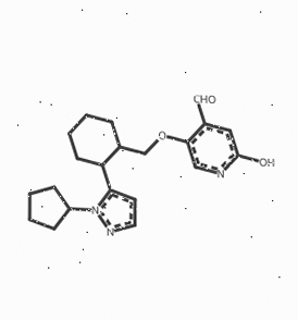 O=Cc1cc(O)ncc1OCC1CCCCC1c1ccnn1C1CCCC1